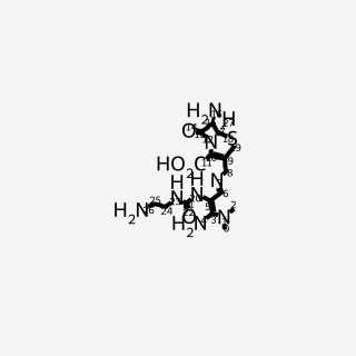 CN(C)/C(N)=C(\C=N\CC1=C(C(=O)O)N2C(=O)[C@@H](N)[C@H]2SC1)NC(=O)NCCN